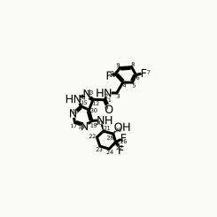 O=C(NCc1cc(F)ccc1F)c1n[nH]c2ncnc(N[C@@H]3CCCC(F)(F)[C@H]3O)c12